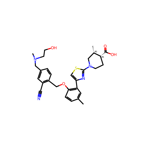 Cc1ccc(OCc2ccc(CN(C)CCO)cc2C#N)c(-c2csc(N3CC[C@@H](C(=O)O)[C@@H](C)C3)n2)c1